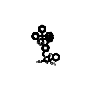 CCCCC1=N[C@@](C)(C2CCCCC2)C(=O)N1Cc1ccc(-c2ccccc2C2(C(c3ccccc3)(c3ccccc3)c3ccccc3)N=NN=N2)cc1